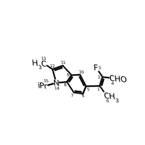 CC(=C(F)C=O)c1ccc2c(c1)cc(C)n2C(C)C